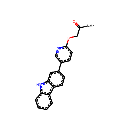 CNC(=O)COc1ccc(-c2ccc3c(c2)[nH]c2ccccc23)cn1